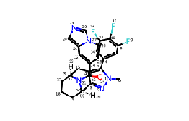 Cn1nc2c(c1-c1cc(F)c(F)c(F)c1)C[C@@H]1CCC[C@H]2N1C(=O)c1ccn2cncc2c1